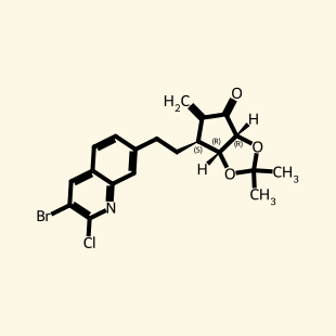 C=C1C(=O)[C@@H]2OC(C)(C)O[C@@H]2[C@H]1CCc1ccc2cc(Br)c(Cl)nc2c1